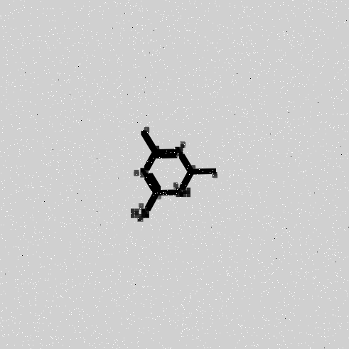 CC1=NC(C)NC(N)=N1